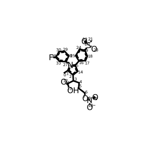 Cc1c(C(CCCO[N+](=O)[O-])C(=O)O)cc(-c2ccc(S(C)(=O)=O)cc2)n1-c1cccc(F)c1